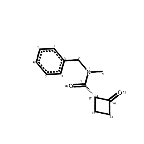 CN(Cc1ccccc1)C(=O)[C@H]1CCC1=O